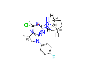 Cc1cc(N2C[C@H]3CC[C@@H](C2)[C@@H]3Nc2nc(Cl)c3c(n2)N(c2ccc(F)cc2)C[C@@H]3C)ncn1